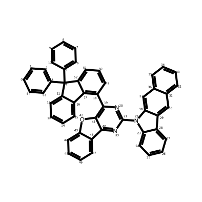 c1ccc(C2(c3ccccc3)c3ccccc3-c3c(-c4nc(-n5c6ccccc6c6cc7ccccc7cc65)nc5c4oc4ccccc45)cccc32)cc1